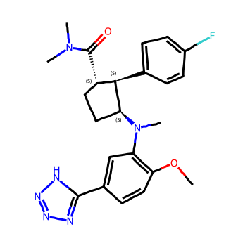 COc1ccc(-c2nnn[nH]2)cc1N(C)[C@H]1CC[C@H](C(=O)N(C)C)[C@H]1c1ccc(F)cc1